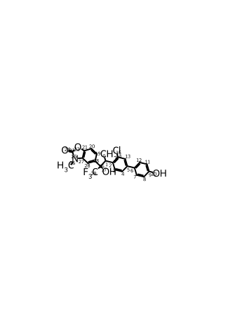 CC(c1ccc(-c2ccc(O)cc2)cc1Cl)C(O)(c1ccc2oc(=O)n(C)c2c1)C(F)(F)F